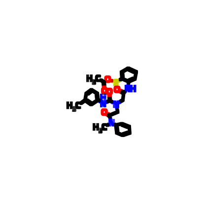 CC(=O)OSc1ccccc1NC(=O)CN(CC(=O)N(C)c1ccccc1)C(=O)Nc1cccc(C)c1